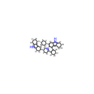 c1cc(-c2ccccc2-c2cccc3[nH]c4ccccc4c23)nc(-c2ccccc2-c2cccc3[nH]c4ccccc4c23)c1